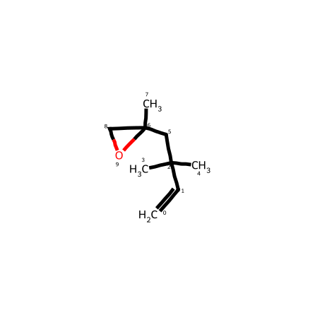 C=CC(C)(C)CC1(C)CO1